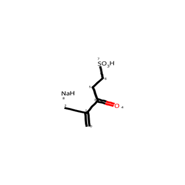 C=C(C)C(=O)CCS(=O)(=O)O.[NaH]